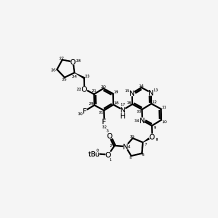 CC(C)(C)OC(=O)N1CC[C@H](Oc2ccc3ncnc(Nc4ccc(OC[C@H]5CCCO5)c(F)c4F)c3n2)C1